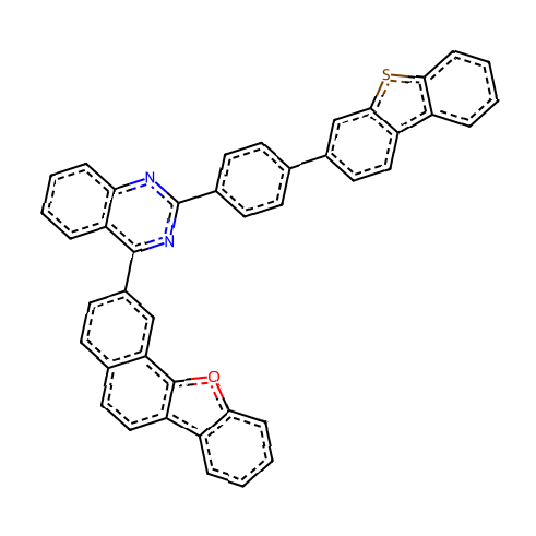 c1ccc2c(-c3ccc4ccc5c6ccccc6oc5c4c3)nc(-c3ccc(-c4ccc5c(c4)sc4ccccc45)cc3)nc2c1